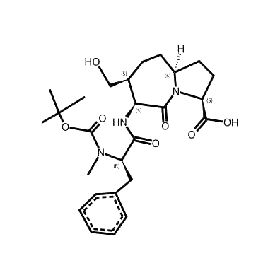 CN(C(=O)OC(C)(C)C)[C@H](Cc1ccccc1)C(=O)N[C@@H]1C(=O)N2[C@@H](CC[C@@H]1CO)CC[C@H]2C(=O)O